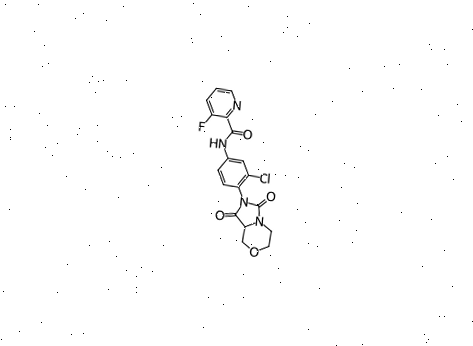 O=C(Nc1ccc(N2C(=O)C3COCCN3C2=O)c(Cl)c1)c1ncccc1F